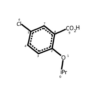 CC(C)Oc1ccc(Cl)cc1C(=O)O